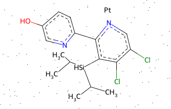 CC(C)[SiH](c1c(-c2ccc(O)cn2)ncc(Cl)c1Cl)C(C)C.[Pt]